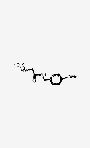 COc1ccc(CNC(=O)CNC(=O)O)nc1